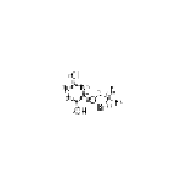 Oc1cnc(Cl)nc1OCC(F)(F)Br